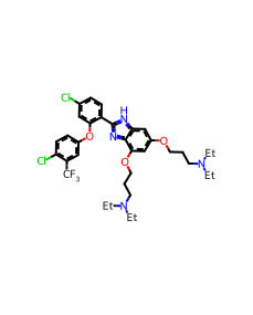 CCN(CC)CCCOc1cc(OCCCN(CC)CC)c2nc(-c3ccc(Cl)cc3Oc3ccc(Cl)c(C(F)(F)F)c3)[nH]c2c1